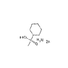 CP(=O)(O)C1CCCCC1.[AlH3].[Zn]